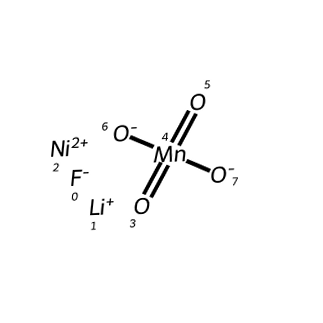 [F-].[Li+].[Ni+2].[O]=[Mn](=[O])([O-])[O-]